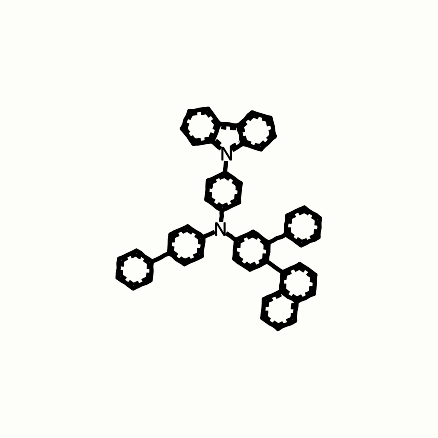 c1ccc(-c2ccc(N(c3ccc(-n4c5ccccc5c5ccccc54)cc3)c3ccc(-c4cccc5ccccc45)c(-c4ccccc4)c3)cc2)cc1